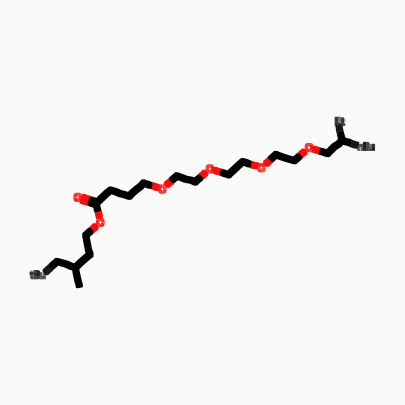 CCCCC(CC)COCCOCCOCCOCCCC(=O)OCCC(C)CC(C)(C)C